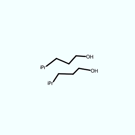 CC(C)CCCO.CC(C)CCCO